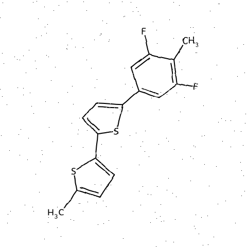 Cc1ccc(-c2ccc(-c3cc(F)c(C)c(F)c3)s2)s1